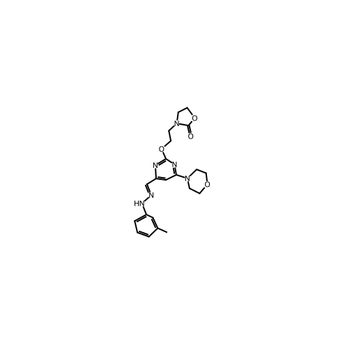 Cc1cccc(NN=Cc2cc(N3CCOCC3)nc(OCCN3CCOC3=O)n2)c1